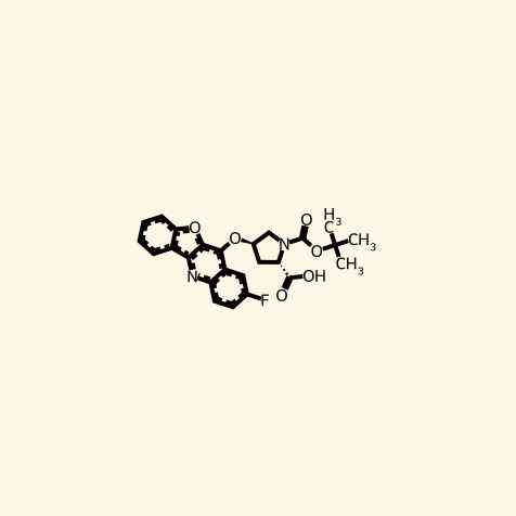 CC(C)(C)OC(=O)N1C[C@H](Oc2c3cc(F)ccc3nc3c2oc2ccccc23)C[C@H]1C(=O)O